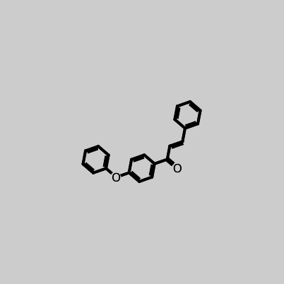 O=C(C=Cc1ccccc1)c1ccc(Oc2ccccc2)cc1